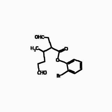 CC(CCC=O)C(CC=O)C(=O)Oc1ccccc1Br